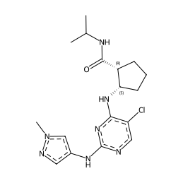 CC(C)NC(=O)[C@@H]1CCC[C@@H]1Nc1nc(Nc2cnn(C)c2)ncc1Cl